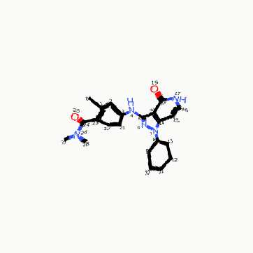 Cc1cc(Nc2nn(C3CCCCC3)c3cc[nH]c(=O)c23)ccc1C(=O)N(C)C